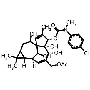 CC(=O)OCC1=C[C@@H]2C(O)[C@]3(C=C(C)[C@H](OC(=O)N(C)c4ccc(Cl)cc4)[C@@]3(O)[C@@H]1O)[C@H](C)CC1[C@H]2C1(C)C